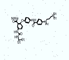 CCC(CC)NC(=O)Nc1ccc(Oc2ccc(NC(=O)c3ccc(N(CCCN(CC)CC)C(C)=O)cc3)cc2)c(C(=O)NC)c1